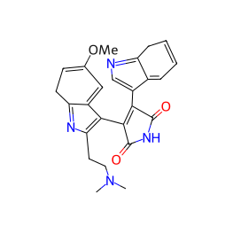 COC1=CCC2=NC(CCN(C)C)=C(C3=C(C4=CN=C5CC=CC=C45)C(=O)NC3=O)C2=C1